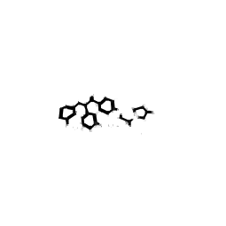 COc1cccc(CC(C(=O)c2ccc(OCC(C)N3CCC(C)C3)cc2)c2cccc(OC)c2)c1